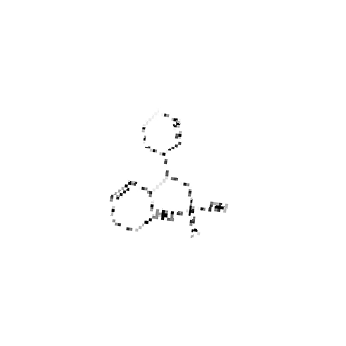 O=P(O)(O)CC(C1C=CCCC1)C1C=CCCC1